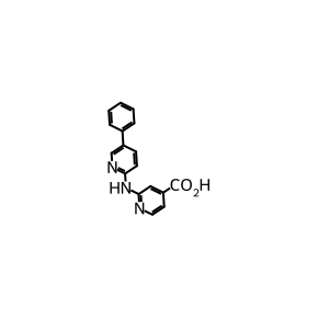 O=C(O)c1ccnc(Nc2ccc(-c3ccccc3)cn2)c1